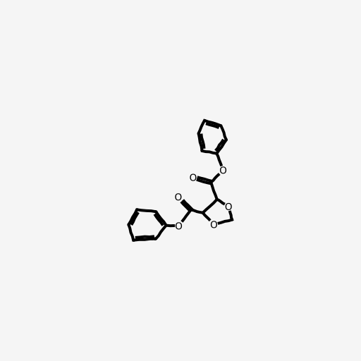 O=C(Oc1ccccc1)C1OCOC1C(=O)Oc1ccccc1